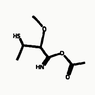 COC(C(=N)OC(C)=O)C(C)S